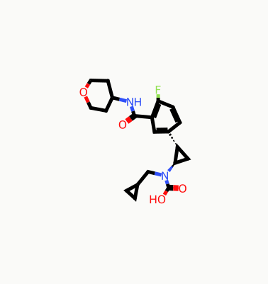 O=C(NC1CCOCC1)c1cc([C@@H]2C[C@H]2N(CC2CC2)C(=O)O)ccc1F